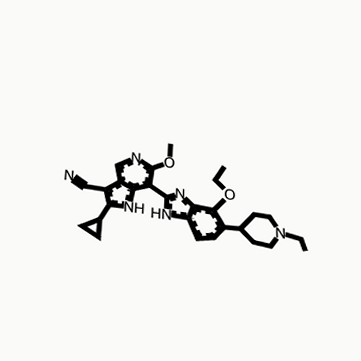 CCOc1c(C2CCN(CC)CC2)ccc2[nH]c(-c3c(OC)ncc4c(C#N)c(C5CC5)[nH]c34)nc12